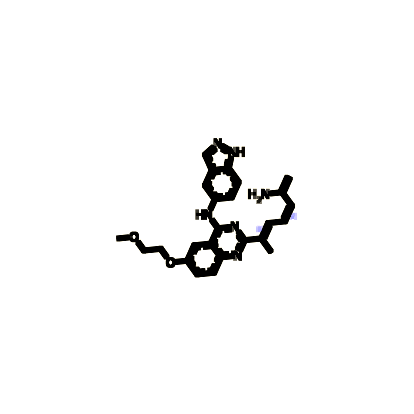 C=C(N)/C=C\C=C(/C)c1nc(Nc2ccc3[nH]ncc3c2)c2cc(OCCOC)ccc2n1